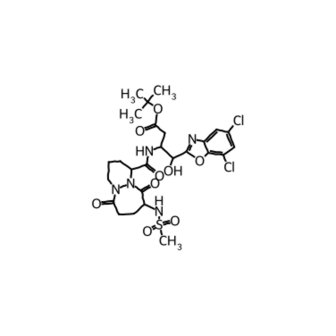 CC(C)(C)OC(=O)CC(NC(=O)C1CCCN2C(=O)CCC(NS(C)(=O)=O)C(=O)N12)C(O)c1nc2cc(Cl)cc(Cl)c2o1